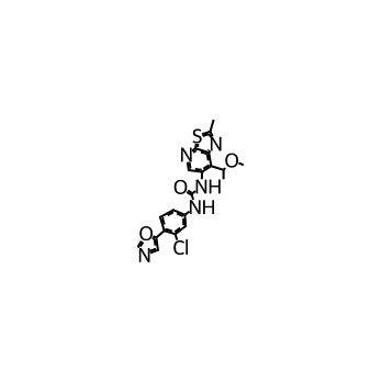 COC(C)c1c(NC(=O)Nc2ccc(-c3cnco3)c(Cl)c2)cnc2sc(C)nc12